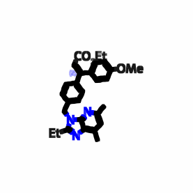 CCOC(=O)/C=C(/c1ccc(Cn2c(CC)nc3c(C)cc(C)nc32)cc1)c1ccc(OC)cc1